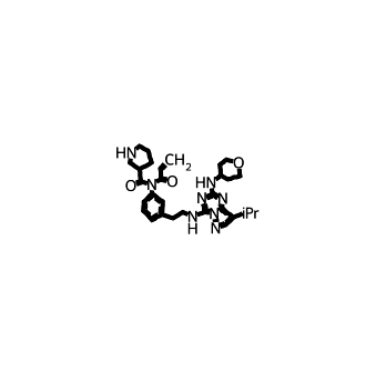 C=CC(=O)N(C(=O)C1CCCNC1)c1cccc(CCNc2nc(NC3CCOCC3)nc3c(C(C)C)cnn23)c1